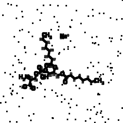 CCCCCCCC(=O)OC[C@H](COP(=O)(O)OC[C@H](N)C(=O)[O-])OC(=O)CCCCCCC.[Na+]